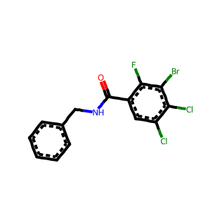 O=C(NCc1ccccc1)c1cc(Cl)c(Cl)c(Br)c1F